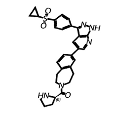 O=C([C@H]1CCCN1)N1CCc2ccc(-c3cnc4[nH]nc(-c5ccc(S(=O)(=O)C6CC6)cc5)c4c3)cc2CC1